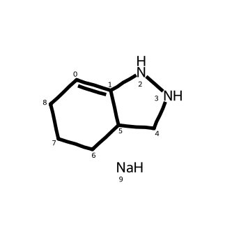 C1=C2NNCC2CCC1.[NaH]